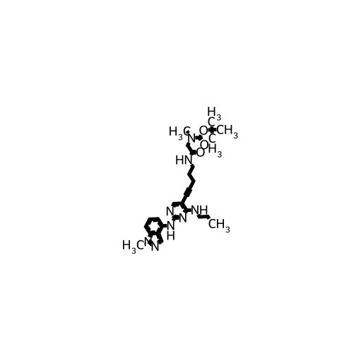 CCCNc1nc(Nc2cccc3c2cnn3C)ncc1C#CCCCNC(=O)CN(C)C(=O)OC(C)(C)C